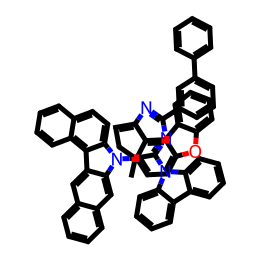 CC1C/C=C(c2c(-n3c4cc5ccccc5cc4c4c5ccccc5ccc43)ccc3oc4ccccc4c23)/N=C(c2cccc(-c3ccccc3)c2)\N=C/1n1c2ccccc2c2ccccc21